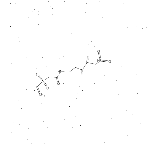 C=CS(=O)(=O)CC(=O)NCCNC(=O)C[SH](=O)=O